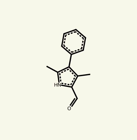 Cc1[nH]c(C=O)c(C)c1-c1ccccc1